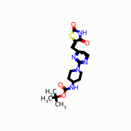 CC(C)(C)OC(=O)NC1CCN(c2nccc(C=C3SC(=O)NC3=O)n2)CC1